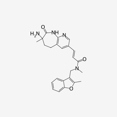 Cc1oc2ccccc2c1CN(C)C(=O)C=Cc1cnc2c(c1)CCC(C)(N)C(=O)N2